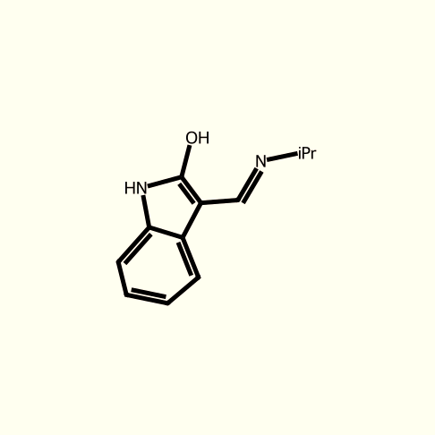 CC(C)N=Cc1c(O)[nH]c2ccccc12